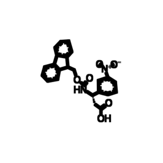 O=C(O)C[C@H](NC(=O)OCC1c2ccccc2-c2ccccc21)c1cccc([N+](=O)[O-])c1